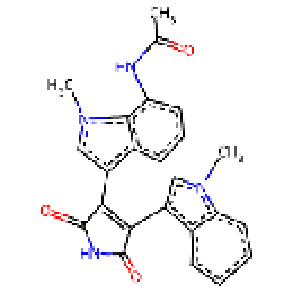 CC(=O)Nc1cccc2c(C3=C(c4cn(C)c5ccccc45)C(=O)NC3=O)cn(C)c12